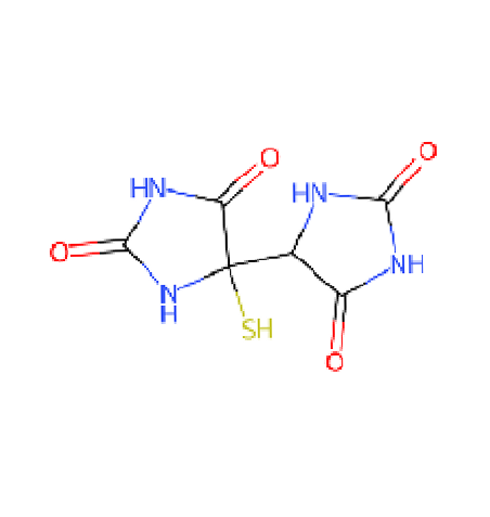 O=C1NC(=O)C(C2(S)NC(=O)NC2=O)N1